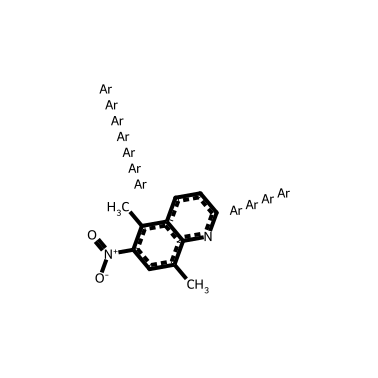 Cc1c([N+](=O)[O-])cc(C)c2ncccc12.[Ar].[Ar].[Ar].[Ar].[Ar].[Ar].[Ar].[Ar].[Ar].[Ar].[Ar]